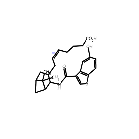 CC1(C)C2CC(C/C=C\CCCC(=O)O)C(NC(=O)c3csc4ccc(O)cc34)C1C2